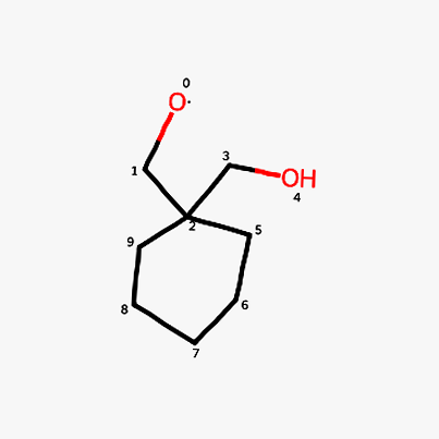 [O]CC1(CO)CCCCC1